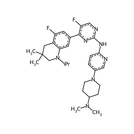 CC(C)N1CC(C)(C)Cc2c(F)cc(-c3nc(Nc4ccc(N5CCC(N(C)C)CC5)cn4)ncc3F)cc21